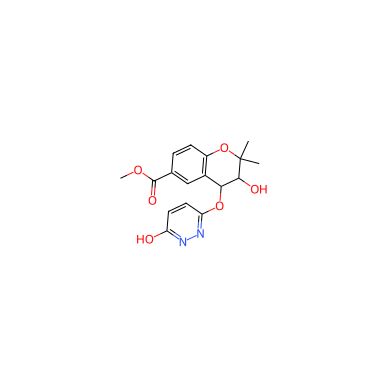 COC(=O)c1ccc2c(c1)C(Oc1ccc(O)nn1)C(O)C(C)(C)O2